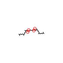 CC(C)CCCC(C)CCCC(C)CC(=O)OCCCCOC(=O)CC(C)CCCC(C)CCCC(C)C